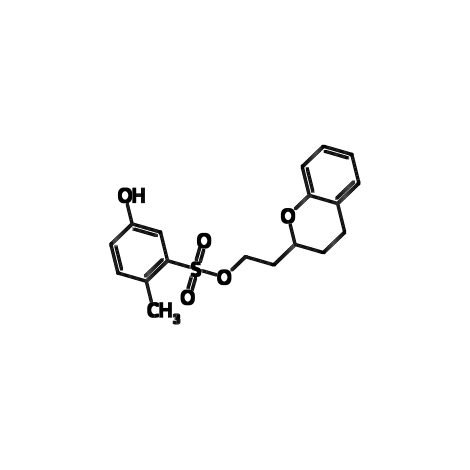 Cc1ccc(O)cc1S(=O)(=O)OCCC1CCc2ccccc2O1